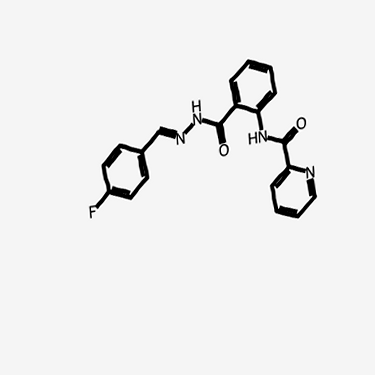 O=C(Nc1ccccc1C(=O)N/N=C/c1ccc(F)cc1)c1ccccn1